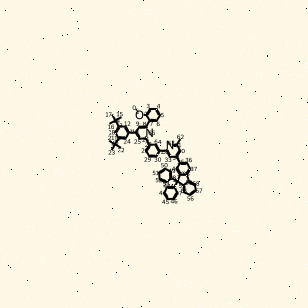 COc1ccccc1-c1cc(-c2cc(C(C)(C)C)cc(C(C)(C)C)c2)cc(-c2cccc(-c3cc(-c4ccc5c(c4)C(c4ccccc4)(c4ccccc4)c4ccccc4-5)cc(C)n3)c2)n1